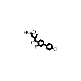 O=C(O)CC(F)C(=O)c1ccc(-c2ccc(Cl)cc2)cc1F